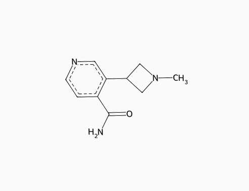 CN1CC(c2cnccc2C(N)=O)C1